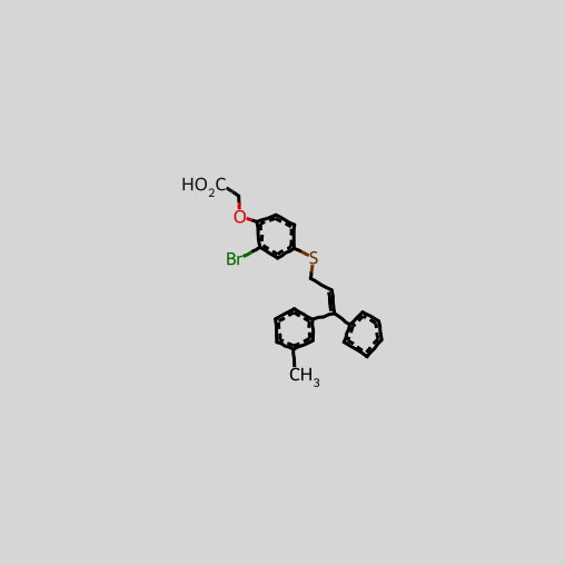 Cc1cccc(/C(=C\CSc2ccc(OCC(=O)O)c(Br)c2)c2ccccc2)c1